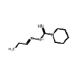 CC/C=N/NC(=N)N1CCCCC1